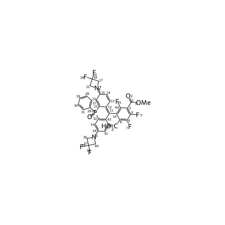 COC(=O)c1c(F)c(F)c(C(=O)O)c(C2=C3C=CC(=[N+]4CC(F)(F)C4)C=C3P(=O)(c3ccccc3)c3cc(N4CC(F)(F)C4)ccc32)c1F